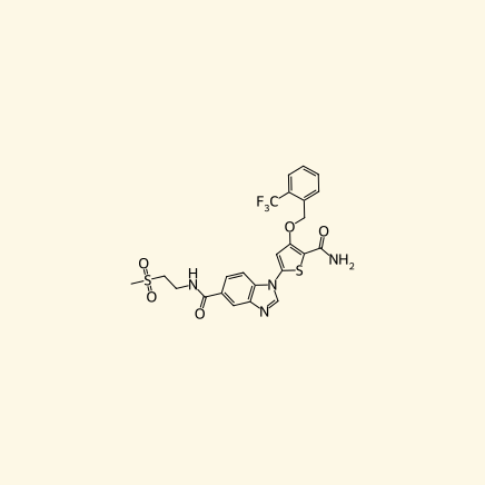 CS(=O)(=O)CCNC(=O)c1ccc2c(c1)ncn2-c1cc(OCc2ccccc2C(F)(F)F)c(C(N)=O)s1